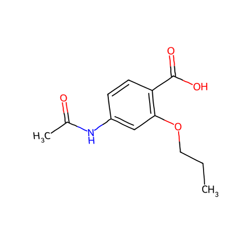 CCCOc1cc(NC(C)=O)ccc1C(=O)O